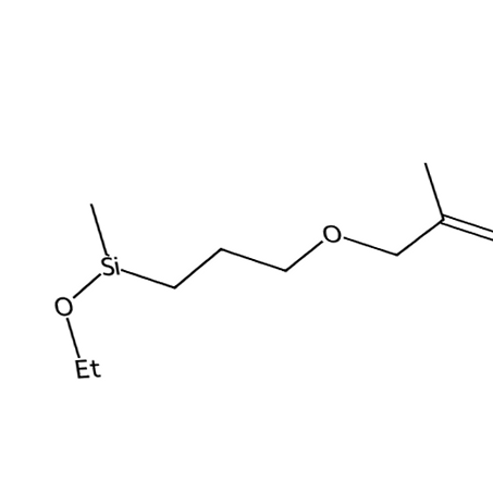 C=C(C)COCCC[Si](C)OCC